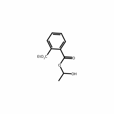 CCOC(=O)c1ccccc1C(=O)OC(C)O